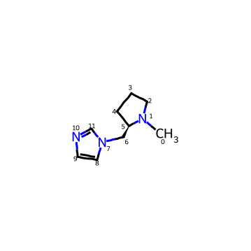 CN1CCC[C@@H]1Cn1ccnc1